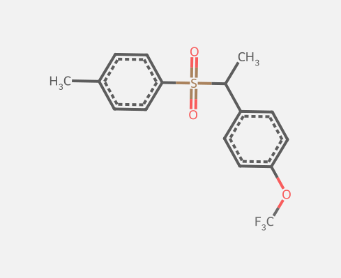 Cc1ccc(S(=O)(=O)C(C)c2ccc(OC(F)(F)F)cc2)cc1